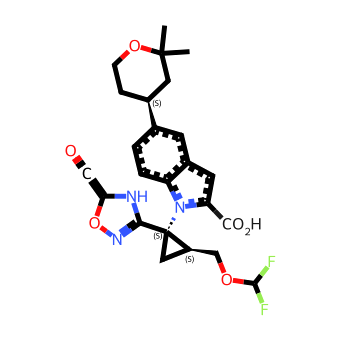 CC1(C)C[C@@H](c2ccc3c(c2)cc(C(=O)O)n3[C@@]2(C3=NOC(=C=O)N3)C[C@@H]2COC(F)F)CCO1